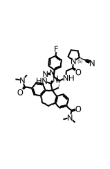 CN(C)C(=O)c1ccc2c(c1)CCc1cc(C(=O)N(C)C)ccc1C2(C[C@H](Cc1ccc(F)cc1)NCC(=O)N1CCC[C@H]1C#N)c1nnn[nH]1